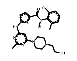 Cc1nc(Nc2ncc(C(=O)N(Br)c3c(C)cccc3Cl)s2)cc(N2CCN(CCO)CC2)n1